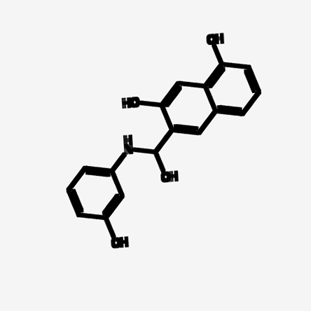 Oc1cccc(NC(O)c2cc3cccc(O)c3cc2O)c1